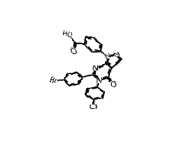 O=C(O)c1cccc(-n2ncc3c(=O)n(-c4ccc(Cl)cc4)c(-c4ccc(Br)cc4)nc32)c1